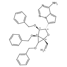 C=C[C@]12O[C@@H](c3ccc4c(N)ncnn34)[C@H](OCc3ccccc3)[C@@]1(OCc1ccccc1)C2OCc1ccccc1